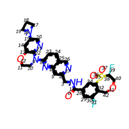 O=C(NCc1cc2nc(N3CCOc4cc(N5CCC5)cnc43)ccc2cn1)c1cc(F)c2c(c1)S(=O)(=O)[C@@H](F)COC2